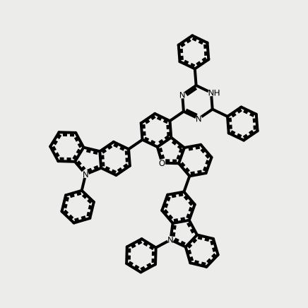 c1ccc(C2=NC(c3ccc(-c4ccc5c(c4)c4ccccc4n5-c4ccccc4)c4oc5c(-c6ccc7c(c6)c6ccccc6n7-c6ccccc6)cccc5c34)=NC(c3ccccc3)N2)cc1